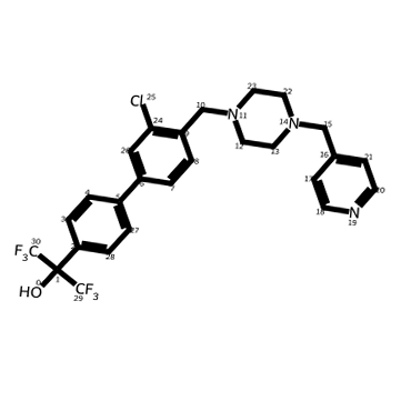 OC(c1ccc(-c2ccc(CN3CCN(Cc4ccncc4)CC3)c(Cl)c2)cc1)(C(F)(F)F)C(F)(F)F